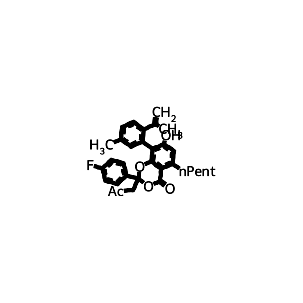 C=C(C)c1ccc(C)cc1-c1c(O)cc(CCCCC)c2c1OC(CC(C)=O)(c1ccc(F)cc1)OC2=O